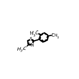 Cc1ccc(-c2nc(C)cs2)c(C)c1